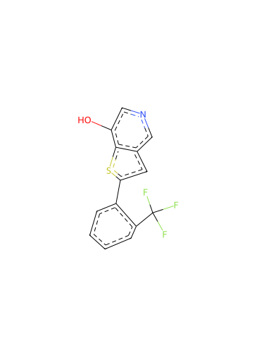 Oc1cncc2cc(-c3ccccc3C(F)(F)F)sc12